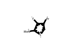 CNc1scc(C(C)C)c1F